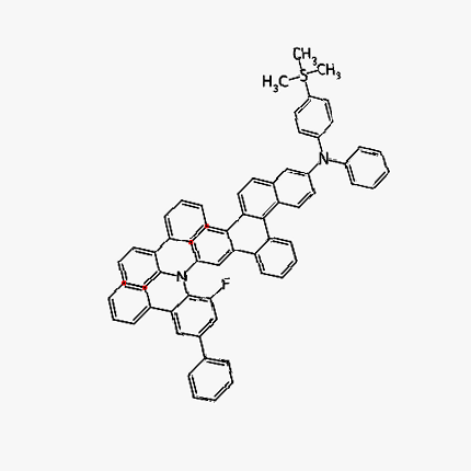 CS(C)(C)c1ccc(N(c2ccccc2)c2ccc3c(ccc4c5ccc(N(c6ccccc6-c6ccccc6)c6c(F)cc(-c7ccccc7)cc6-c6ccccc6)cc5c5ccccc5c34)c2)cc1